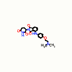 CN(C)CCOc1ccc(Nc2cccc3c2C(=O)N(C2CCC(=O)NC2=O)C3=O)cc1